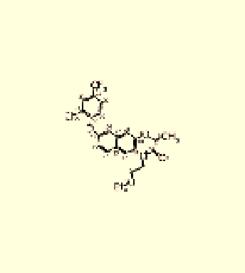 CCOCCOC(=O)C(C)Oc1ccc2ccc(Oc3ccc(C(F)(F)F)cc3Cl)cc2c1